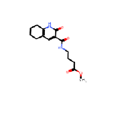 COC(=O)CCCNC(=O)c1cc2c([nH]c1=O)CCCC2